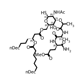 CCCCCCCCCCCCCCCC(=O)O[C@H](CCCCCCCCCCCCC)CC(=O)OC[C@H]1O[C@@H](S)[C@H](NC(C)=O)[C@H](OC(C)C(=O)N[C@@H](C)C(=O)N[C@H](CCC(=O)OC)C(N)=O)[C@@H]1O